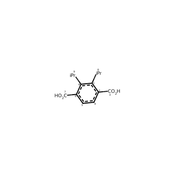 CC(C)c1c(C(=O)O)ccc(C(=O)O)c1C(C)C